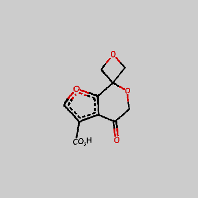 O=C(O)c1coc2c1C(=O)COC21COC1